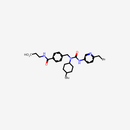 CC(C)Cc1ccc(NC(=O)N(Cc2ccc(C(=O)NCCC(=O)O)cc2)C2CCC(C(C)(C)C)CC2)cn1